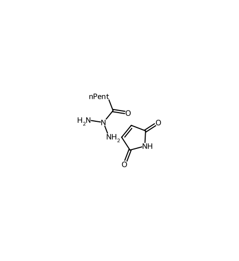 CCCCCC(=O)N(N)N.O=C1C=CC(=O)N1